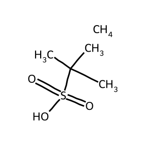 C.CC(C)(C)S(=O)(=O)O